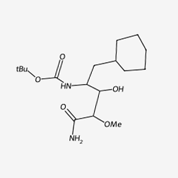 COC(C(N)=O)C(O)C(CC1CCCCC1)NC(=O)OC(C)(C)C